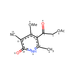 COc1c(C(=O)COC(C)=O)c(C)[nH]c(=O)c1C#N